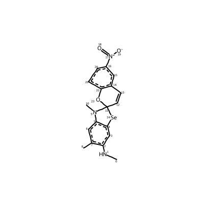 CNc1cc2c(cc1C)N(C)C1(C=Cc3cc([N+](=O)[O-])ccc3O1)[Se]2